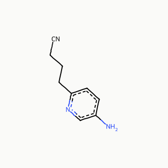 N#CCCCc1ccc(N)cn1